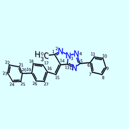 Cc1nn2nc(-c3ccccc3)nc2/c1=C/c1ccc(-c2ccccc2)cc1